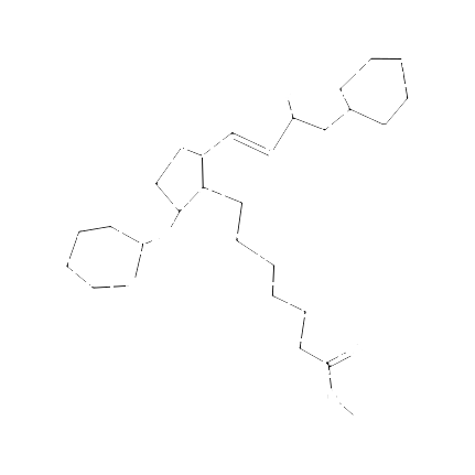 COC(=O)CCCCCCC1C(C=CC(O)CC2CCCCC2)CCC1OC1CCCCO1